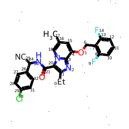 CCc1nc2c(OCc3c(F)cccc3F)cc(C)cn2c1C(=O)NC(C#N)c1ccc(Cl)cc1